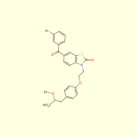 CCOC(Cc1ccc(OCCn2c(=O)sc3cc(C(=O)c4cccc(Br)c4)ccc32)cc1)C(=O)O